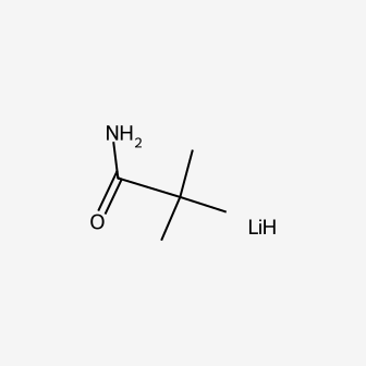 CC(C)(C)C(N)=O.[LiH]